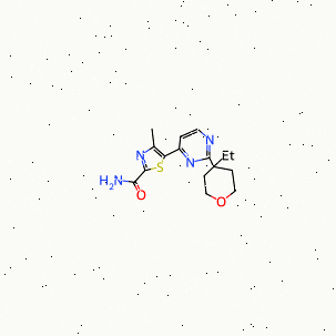 CCC1(c2nccc(-c3sc(C(N)=O)nc3C)n2)CCOCC1